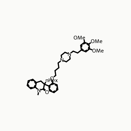 CCCCCCC1(c2ccccc2OCCCCN2CCN(CCc3cc(OC)c(OC)c(OC)c3)CC2)Cc2ccccc2N(C)C1=O